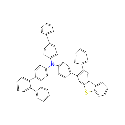 c1ccc(-c2ccc(N(c3ccc(-c4ccccc4-c4ccccc4)cc3)c3ccc(-c4cc5sc6ccccc6c5cc4-c4ccccc4)cc3)cc2)cc1